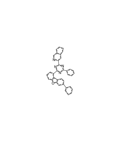 c1ccc(-c2ccc3c(c2)oc2cccc(-c4nc(-c5ccccc5)nc(-c5cc6ccccc6cn5)n4)c23)cc1